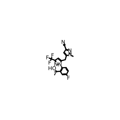 C[C@@H](O)c1cc(F)ccc1-n1nc(C(F)(F)F)cc1Cc1cc(C#N)nn1C